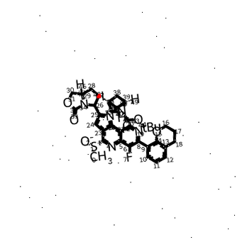 C[S+]([O-])c1nc2c(F)c(-c3cccc4c3OCCC4)ncc2c2c1cc(C1CC[C@H]3COC(=O)N13)n2[C@H]1[C@@H]2C[C@H]1N(C(=O)OC(C)(C)C)C2